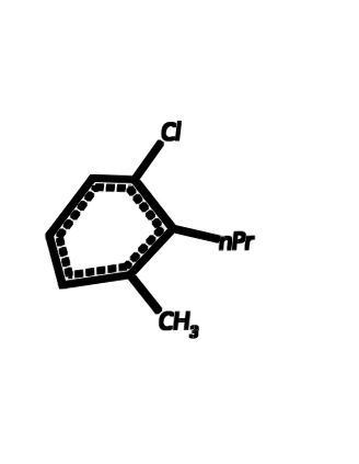 CCCc1c(C)cccc1Cl